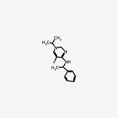 CC(NC1=NCN(C(C)C)C=C1F)c1ccccc1